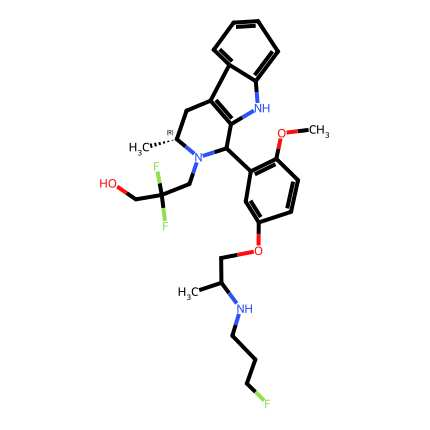 COc1ccc(OCC(C)NCCCF)cc1C1c2[nH]c3ccccc3c2C[C@@H](C)N1CC(F)(F)CO